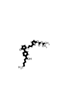 CCCCCC(O)c1ccc(C2C(=O)CC[C@@H]2CCCc2ccc(OC(=O)OC(C)C)s2)cc1